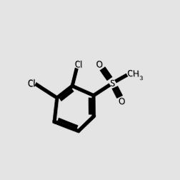 CS(=O)(=O)c1cccc(Cl)c1Cl